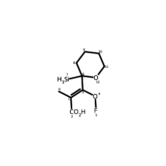 CC(C(=O)O)=C(OF)C1([SiH3])CCCCO1